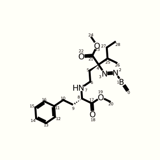 C=BN=N[C@](CCN[C@@H](CCc1ccccc1)C(=O)OC)(C(=O)OC)C(C)CC